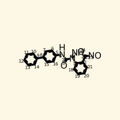 NN(C(=O)Nc1ccc(-c2ccccc2)cc1)c1ccccc1C(=O)N=O